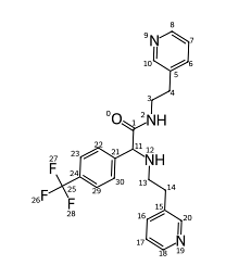 O=C(NCCc1cccnc1)C(NCCc1cccnc1)c1ccc(C(F)(F)F)cc1